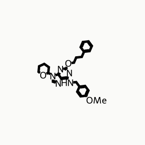 COc1ccc(CNc2nc(OCCCc3ccccc3)nc3c2ncn3C2CCCCO2)cc1